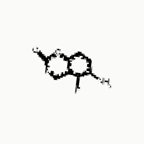 Nc1ccc2oc(=O)ncc2c1F